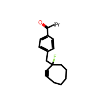 CC(C)C(=O)c1ccc(CC2(F)C#CCCCCC2)cc1